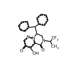 CC(N1CC(C(c2ccccc2)c2ccccc2)n2ncc(=O)c(O)c2C1=O)C(F)(F)F